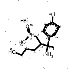 Br.CC(N)(c1ccc(Cl)cc1)C(CCCO)C[PH](=O)O